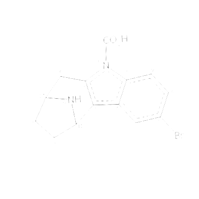 O=C(O)n1c2c(c3cc(Br)ccc31)C1CCC(C2)N1